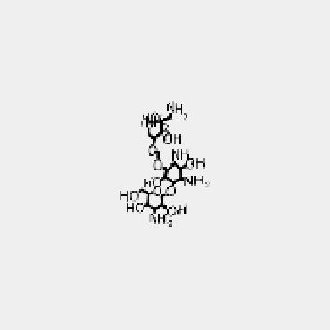 NCC(O)C(O)C(CN)OCOC1C(N)C(O)C(N)C(OC2OC(CO)C(O)C(N)C2O)C1O